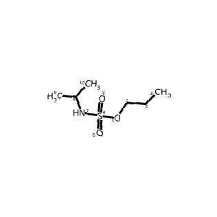 CCCOS(=O)(=O)NC(C)C